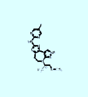 COC[C@H](C)N1CCc2sc(Nc3ncc(F)cn3)nc2-c2c[nH]nc21